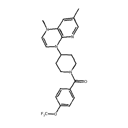 Cc1cnc2c(c1)N(C)C=CN2C1CCN(C(=O)c2ccc(OC(F)(F)F)cc2)CC1